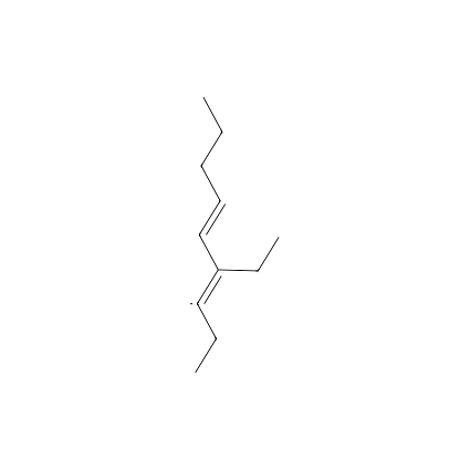 CC/[C]=C(/C=CCCC)CC